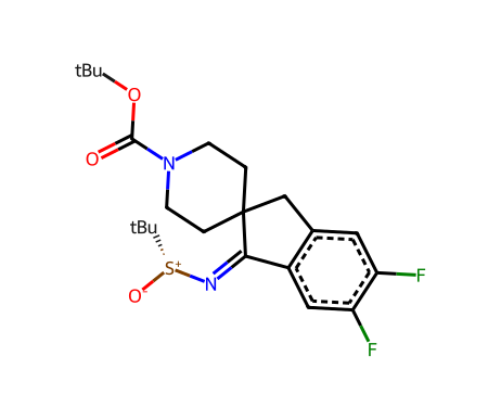 CC(C)(C)OC(=O)N1CCC2(CC1)Cc1cc(F)c(F)cc1/C2=N/[S@+]([O-])C(C)(C)C